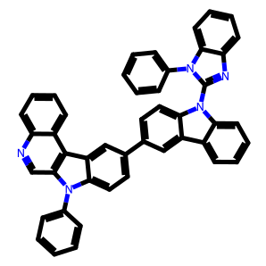 c1ccc(-n2c(-n3c4ccccc4c4cc(-c5ccc6c(c5)c5c7ccccc7ncc5n6-c5ccccc5)ccc43)nc3ccccc32)cc1